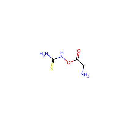 NCC(=O)ONC(N)=S